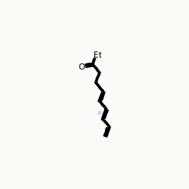 C=C/C=C/C=CCCC(=O)CC